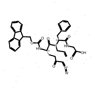 C=CCN(C(=O)[C@H](CCC(=O)C=[N+]=[N-])NC(=O)OCC1c2ccccc2-c2ccccc21)[C@@H](Cc1ccccc1)C(=O)NCC(=O)O